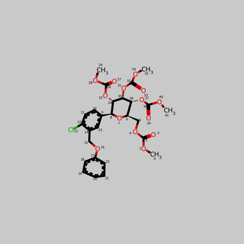 COC(=O)OC[C@H]1O[C@@H](c2ccc(Cl)c(COc3ccccc3)c2)[C@H](OC(=O)OC)[C@@H](OC(=O)OC)[C@@H]1OC(=O)OC